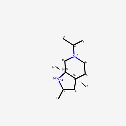 CC1C[C@]2(C)CCN(C(C)C)C[C@]2(C)N1